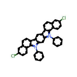 Clc1ccc2c(ccc3c4cc5c6ccc7cc(Cl)ccc7c6n(-c6ccccc6)c5cc4n(-c4ccccc4)c23)c1